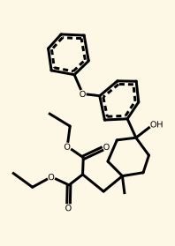 CCOC(=O)C(CC1(C)CCC(O)(c2cccc(Oc3ccccc3)c2)CC1)C(=O)OCC